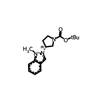 C[n+]1c2ccccc2cn1[C@@H]1CCN(C(=O)OC(C)(C)C)C1